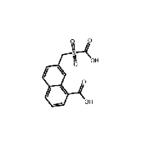 O=C(O)c1cccc2ccc(CS(=O)(=O)C(=O)O)cc12